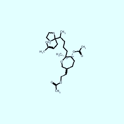 CC(=O)OCC=C1CC[C@@H](OC(C)=O)[C@](C)(CCCC(C)C2(CC=C(C)C)SCCS2)OC1